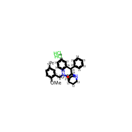 COc1ccc(C(C)C)cc1CNC1C2CCN(CC2C(=O)O)C1C(c1ccccc1)c1ccccc1.Cl.Cl